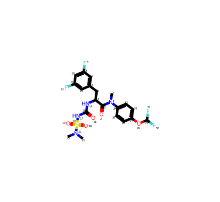 CN(C(=O)C(Cc1cc(F)cc(F)c1)NC(=O)NS(=O)(=O)N(C)C)c1ccc(OC(F)F)cc1